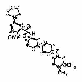 COc1ncc(N2CCOCC2)cc1S(=O)(=O)Nc1cncc(-c2ccc(CN3CCN(C)C(C)C3)cc2)c1